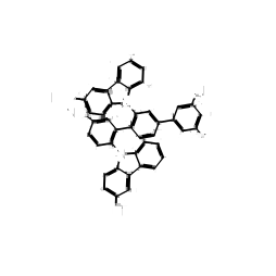 N#Cc1ccc(-n2c3ccccc3c3cc(C(F)(F)F)ccc32)c(-c2ccc(-c3cc(C(F)(F)F)cc(C(F)(F)F)c3)cc2-n2c3ccccc3c3cc(C(F)(F)F)ccc32)c1